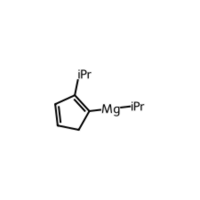 C[CH](C)[Mg][C]1=C(C(C)C)C=CC1